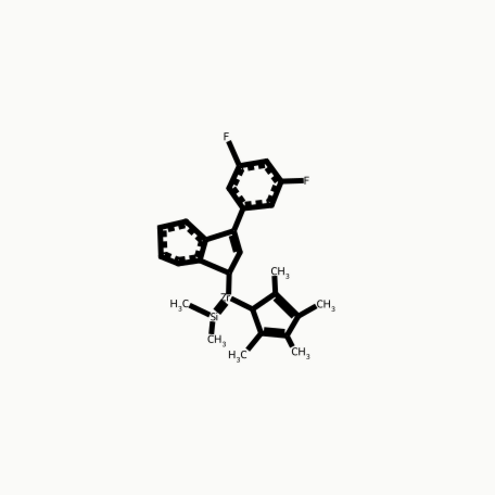 CC1=C(C)[CH]([Zr]([CH]2C=C(c3cc(F)cc(F)c3)c3ccccc32)=[Si](C)C)C(C)=C1C